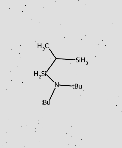 CCC(C)N([SiH2]C(C)[SiH3])C(C)(C)C